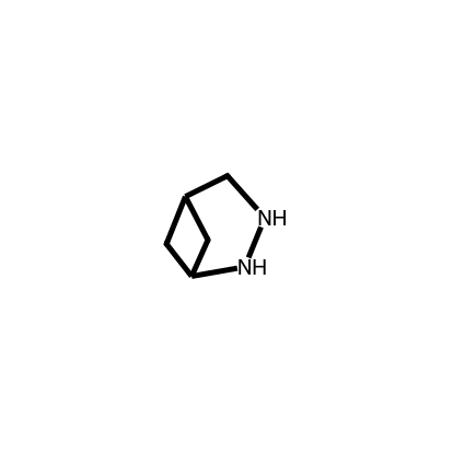 C1NNC2CC1C2